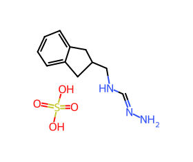 NN=CNCC1Cc2ccccc2C1.O=S(=O)(O)O